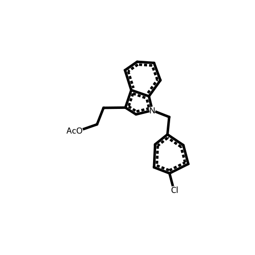 CC(=O)OCCc1cn(Cc2ccc(Cl)cc2)c2ccccc12